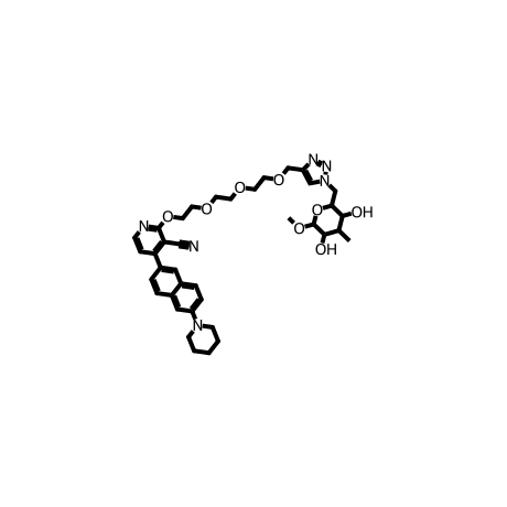 COC1OC(Cn2cc(COCCOCCOCCOc3nccc(-c4ccc5cc(N6CCCCC6)ccc5c4)c3C#N)nn2)C(O)C(C)C1O